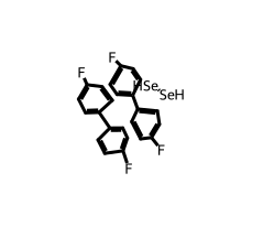 Fc1ccc(-c2ccc(F)cc2)cc1.Fc1ccc(-c2ccc(F)cc2)cc1.[SeH][SeH]